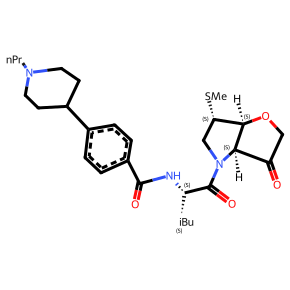 CCCN1CCC(c2ccc(C(=O)N[C@H](C(=O)N3C[C@H](SC)[C@H]4OCC(=O)[C@H]43)[C@@H](C)CC)cc2)CC1